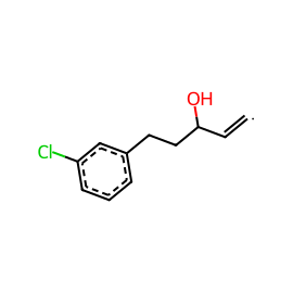 [CH]=CC(O)CCc1cccc(Cl)c1